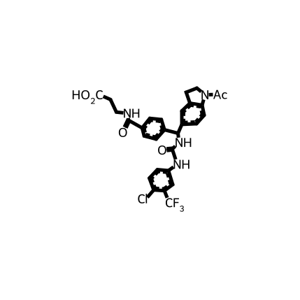 CC(=O)N1CCc2cc(C(NC(=O)Nc3ccc(Cl)c(C(F)(F)F)c3)c3ccc(C(=O)NCCC(=O)O)cc3)ccc21